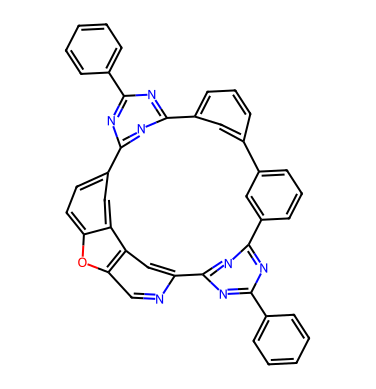 c1ccc(-c2nc3nc(n2)c2ccc4oc5cnc(cc5c4c2)c2nc(-c4ccccc4)nc(n2)c2cccc(c2)c2cccc3c2)cc1